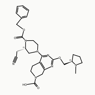 CN1CCC[C@@H]1COc1nc2c(c(N3CCN(C(=O)OCc4ccccc4)[C@@H](CC#N)C3)n1)CCN(C(=O)O)C2